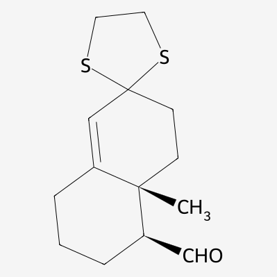 C[C@]12CCC3(C=C1CCC[C@@H]2C=O)SCCS3